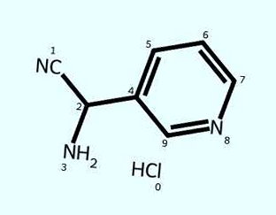 Cl.N#CC(N)c1cccnc1